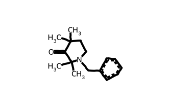 CC1(C)CCN(Cc2ccccc2)C(C)(C)C1=O